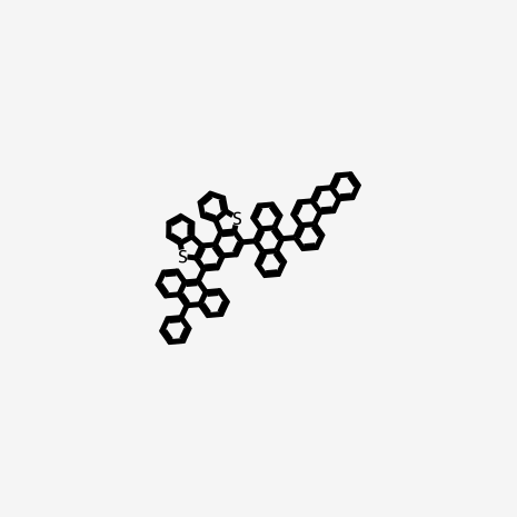 c1ccc(-c2c3ccccc3c(-c3cc4cc(-c5c6ccccc6c(-c6cccc7c6ccc6cc8ccccc8cc67)c6ccccc56)c5sc6ccccc6c5c4c4c3sc3ccccc34)c3ccccc23)cc1